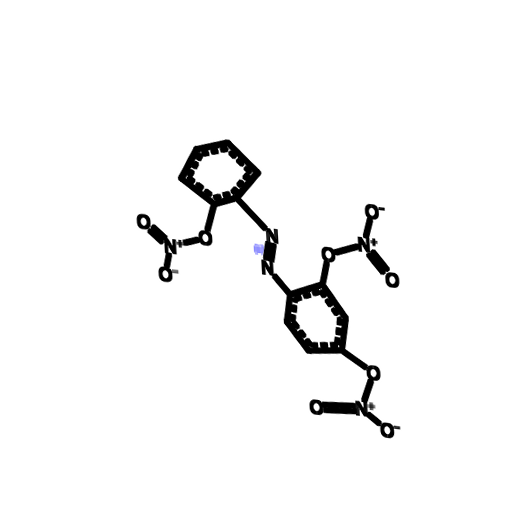 O=[N+]([O-])Oc1ccc(/N=N/c2ccccc2O[N+](=O)[O-])c(O[N+](=O)[O-])c1